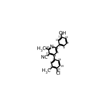 Cc1cc(-c2cc(-c3cccc(O)c3)nc(C)c2C#N)ccc1Cl